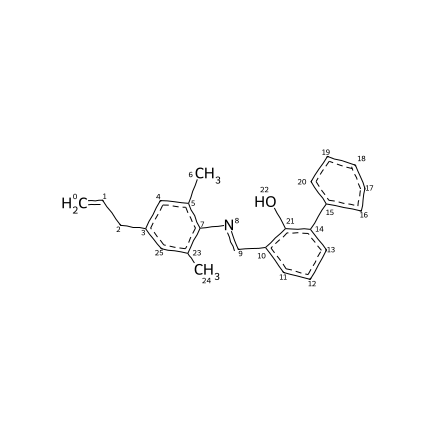 C=CCc1cc(C)c(N=Cc2cccc(-c3ccccc3)c2O)c(C)c1